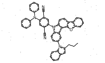 CCCc1cc2ccccc2n1-c1ccc2c(c1)c1c3oc4ccccc4c3ccc1n2-c1cc(C#N)c(N(c2ccccc2)c2ccccc2)cc1C#N